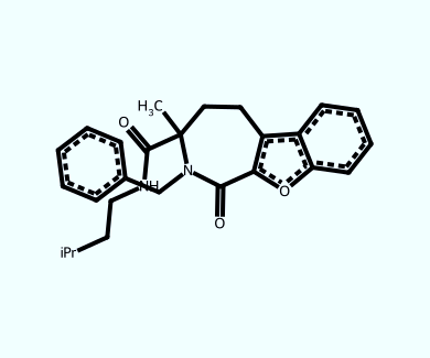 CC(C)CCNC(=O)C1(C)CCc2c(oc3ccccc23)C(=O)N1Cc1ccccc1